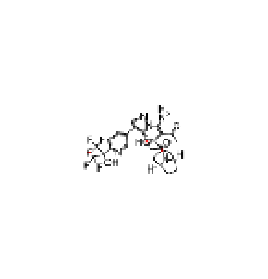 CC(=O)c1c(C2C[C@H]3CC[C@@H](C2)N3C(=O)CO)nc2c(-c3ccc(C(O)(C(F)(F)F)C(F)(F)F)nc3)cnn2c1N